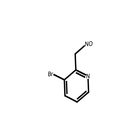 O=NCc1ncccc1Br